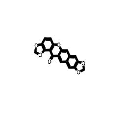 O=c1c2cc3cc4c(cc3cc2oc2ccc3c(c12)OCO3)OCO4